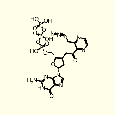 [N-]=[N+]=NCc1nccnc1C(=O)CC1C[C@H](n2cnc3c(=O)[nH]c(N)nc32)O[C@@H]1COP(=O)(O)OP(=O)(O)OP(=O)(O)O